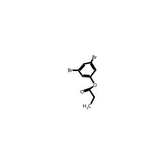 CCC(=O)Oc1cc(Br)cc(Br)c1